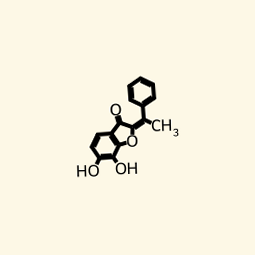 C/C(=C1\Oc2c(ccc(O)c2O)C1=O)c1ccccc1